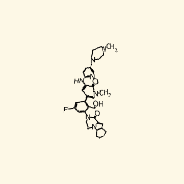 CN1CCCN(c2ccc(Nc3cc(-c4cc(F)cc(N5CCn6c(cc7c6CCCC7)C5=O)c4CO)cn(C)c3=O)nc2)CC1